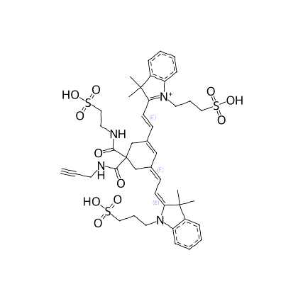 C#CCNC(=O)C1(C(=O)NCCS(=O)(=O)O)CC(/C=C/C2=[N+](CCCS(=O)(=O)O)c3ccccc3C2(C)C)=CC(=C/C=C2/N(CCCS(=O)(=O)O)c3ccccc3C2(C)C)/C1